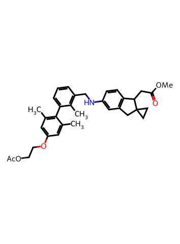 COC(=O)CC1c2ccc(NCc3cccc(-c4c(C)cc(OCCOC(C)=O)cc4C)c3C)cc2CC12CC2